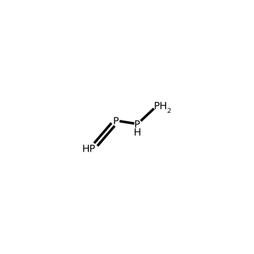 P=PPP